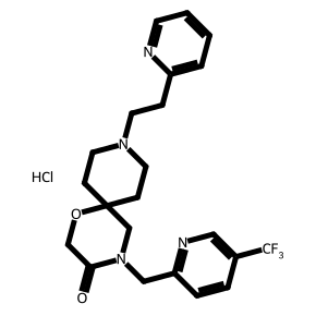 Cl.O=C1COC2(CCN(CCc3ccccn3)CC2)CN1Cc1ccc(C(F)(F)F)cn1